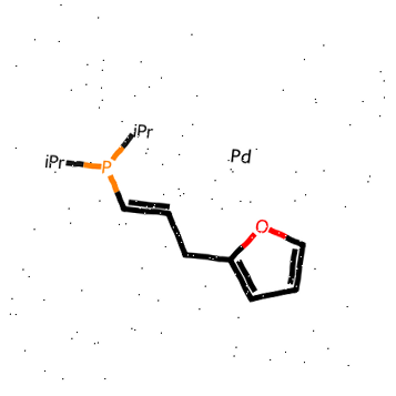 CC(C)P(C=CCc1ccco1)C(C)C.[Pd]